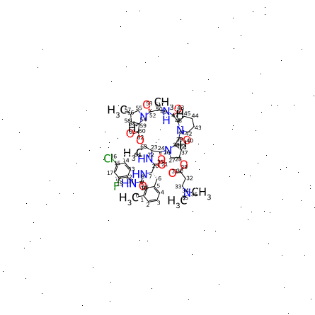 Cc1cccc(C[C@H](NC(=O)Nc2ccc(Cl)cc2F)C(=O)N[C@@H]2C(=O)N3C[C@H](OC(=O)CCN(C)C)C[C@H]3C(=O)N3CCCC[C@H]3C(=O)N[C@@H](C)C(=O)N3C[C@H](C)C[C@H]3C(=O)O[C@H]2C)c1